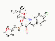 CC(C)(C)OC(=O)N[C@@H](Cc1ccc(Cl)cc1)C(=O)CSCc1ccco1